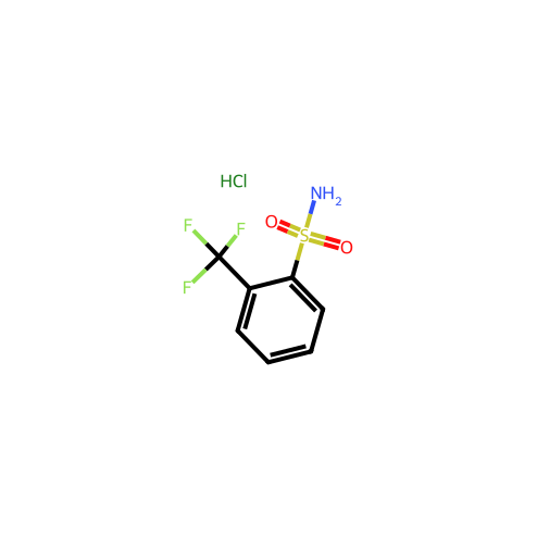 Cl.NS(=O)(=O)c1ccccc1C(F)(F)F